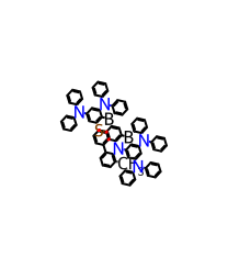 FC(F)(F)c1cccc(-c2ccccc2)c1N1c2cc3c(cc2B2c4ccccc4N(c4ccccc4)c4cc(N(c5ccccc5)c5ccccc5)cc1c42)B1c2ccccc2N(c2ccccc2)c2cc(N(c4ccccc4)c4ccccc4)cc(c21)S3